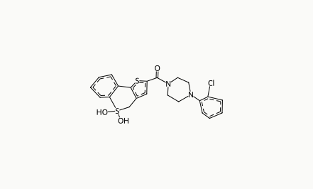 O=C(c1cc2c(s1)-c1ccccc1S(O)(O)C2)N1CCN(c2ccccc2Cl)CC1